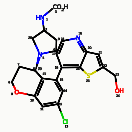 O=C(O)NC1CCN([C@@H]2CCOc3cc(Cl)cc(-c4ccnc5cc(CO)sc45)c32)C1